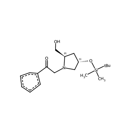 CC(C)(C)[Si](C)(C)O[C@H]1C[C@H](CO)N(CC(=O)c2ccccc2)C1